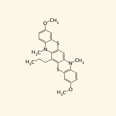 CCCc1c2sc3cc(OC)ccc3n(C)c2cc2sc3cc(OC)ccc3n(C)c12